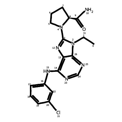 CCn1c(N2CCC[C@H]2C(N)=O)nc2c(Nc3cccc(Cl)c3)ncnc21